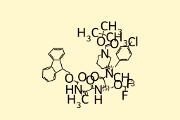 C[C@H](NC(=O)OCC1c2ccccc2-c2ccccc21)C(=O)N[C@@H](COC(F)F)C(=O)N(C)[C@@]1(Cc2ccc(Cl)cc2)CCCN(C(=O)OC(C)(C)C)C1